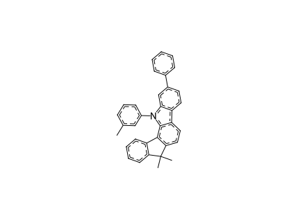 Cc1cccc(-n2c3cc(-c4ccccc4)ccc3c3ccc4c(c32)-c2ccccc2C4(C)C)c1